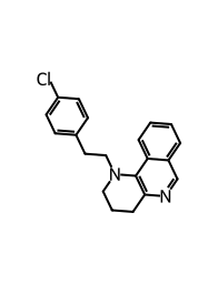 Clc1ccc(CCN2CCCc3ncc4ccccc4c32)cc1